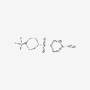 CC(C)(C)N1CCC(S(=O)(=O)c2ccc(C#N)nc2)CC1